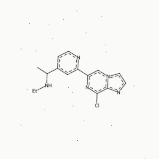 CCNC(C)c1ccnc(-c2cn3ccnc3c(Cl)n2)c1